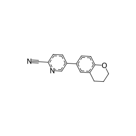 N#Cc1ccc(-c2ccc3c(c2)CCCO3)cn1